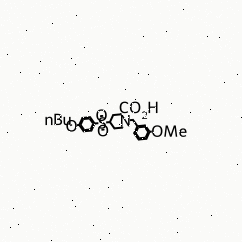 CCCCOc1ccc(S(=O)(=O)C2CCN(Cc3cccc(OC)c3)C(C(=O)O)C2)cc1